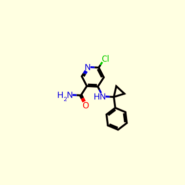 NC(=O)c1cnc(Cl)cc1NC1(c2ccccc2)CC1